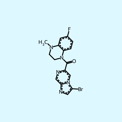 CN1CCN(C(=O)c2cn3c(Br)cnc3cn2)c2ccc(F)cc21